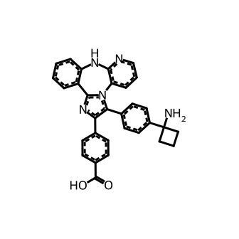 NC1(c2ccc(-c3c(-c4ccc(C(=O)O)cc4)nc4n3-c3cccnc3Nc3ccccc3-4)cc2)CCC1